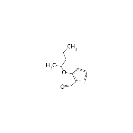 CCCC(C)Oc1ccccc1C=O